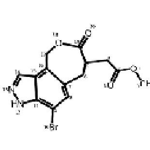 COC(=O)CC1Cc2cc(Br)c3[nH]ncc3c2COC1=O